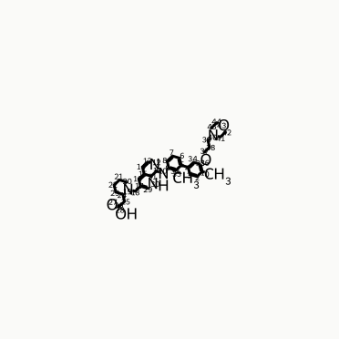 Cc1ccc(-c2cccc(Nc3nccc4cc(CN5CCCCC5CC(=O)O)cnc34)c2C)cc1OCCCN1CCOCC1